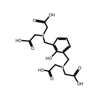 O=C(O)CN(CC(=O)O)Cc1cccc(CN(CC(=O)O)CC(=O)O)c1O